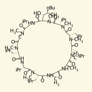 CCCC[C@@H](C)[C@@H](O)C1C(=O)N[C@@H](C(C)C)C(=O)N(C)CC(=O)N(C)[C@@H](CC(C)C)C(=O)N[C@@H](C(C)C)C(=O)N(C)[C@@H](CC(C)C)C(=O)N[C@@H](C)C(=O)N[C@H](C)C(=O)N(C)[C@@H](CC(C)C)C(=O)N(C)[C@@H](CC(C)C)C(=O)N(C)[C@@H](C(C)C)C(=O)N1C